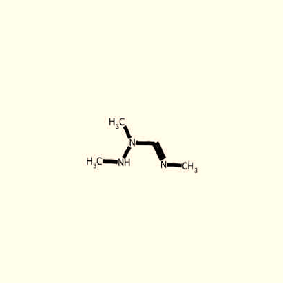 CN=CN(C)NC